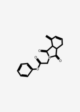 C=C1C=CCC2C(=O)N(CC(=O)Oc3ccccc3)C(=O)C12